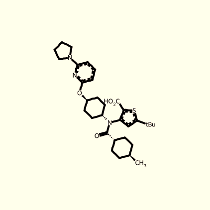 CC(C)(C)c1cc(N(C(=O)[C@H]2CC[C@H](C)CC2)[C@H]2CC[C@H](Oc3cccc(N4CCCC4)n3)CC2)c(C(=O)O)s1